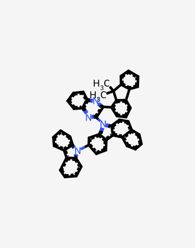 CC1(C)c2ccccc2-c2cccc(-c3nc4ccccc4nc3-n3c4cc(-n5c6ccccc6c6ccccc65)ccc4c4c5ccccc5ccc43)c21